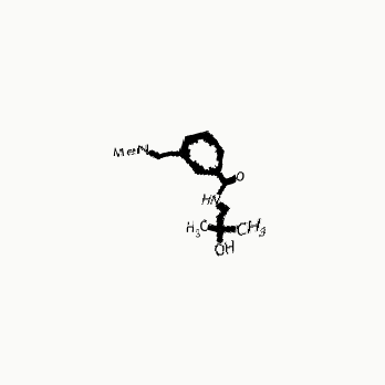 CNCc1cccc(C(=O)NCC(C)(C)O)c1